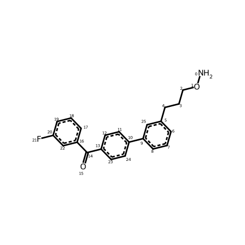 NOCCCc1cccc(-c2ccc(C(=O)c3cccc(F)c3)cc2)c1